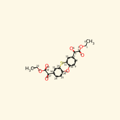 CCOC(=O)C(=O)c1ccc2c(c1)Sc1cc(C(=O)C(=O)OCC)ccc1O2